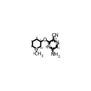 CN1CCCC(Oc2nc(N)cnc2C#N)C1